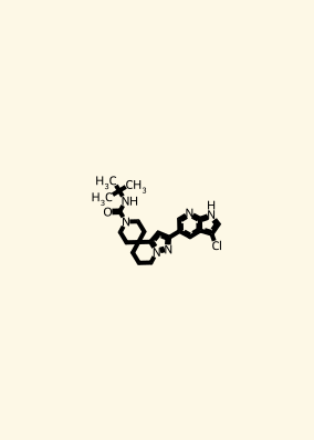 CC(C)(C)NC(=O)N1CCC2(CCCn3nc(-c4cnc5[nH]cc(Cl)c5c4)cc32)CC1